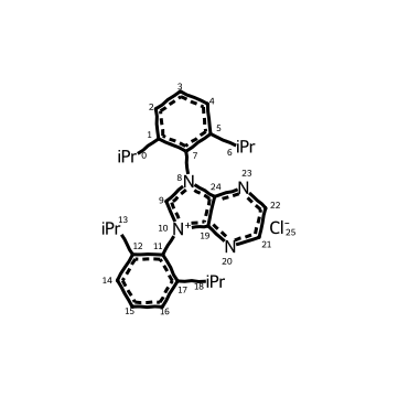 CC(C)c1cccc(C(C)C)c1-n1c[n+](-c2c(C(C)C)cccc2C(C)C)c2nccnc21.[Cl-]